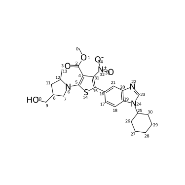 COC(=O)c1c(N2CC(CO)CC2C)sc(-c2ccc3c(c2)ncn3C2CCCCC2)c1[N+](=O)[O-]